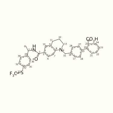 CC(NC(=O)c1ccc2c(c1)CCCN2Cc1ccc(-c2ccccc2C(=O)O)cc1)c1ccc(SC(F)(F)F)cc1